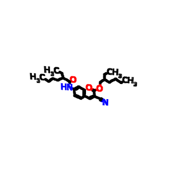 CCCCC(CC)COC(=O)/C(C#N)=C\c1ccc(NC(=O)C(CC)CCCC)cc1